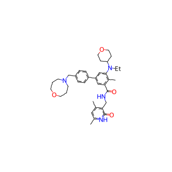 CCN(c1cc(-c2ccc(CN3CCCOCCC3)cc2)cc(C(=O)NCc2c(C)cc(C)[nH]c2=O)c1C)C1CCOCC1